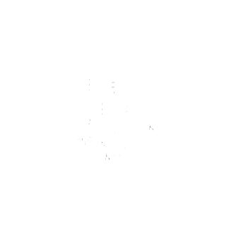 Cn1nccc1-c1c(C#N)cc2ccccc2c1Cl